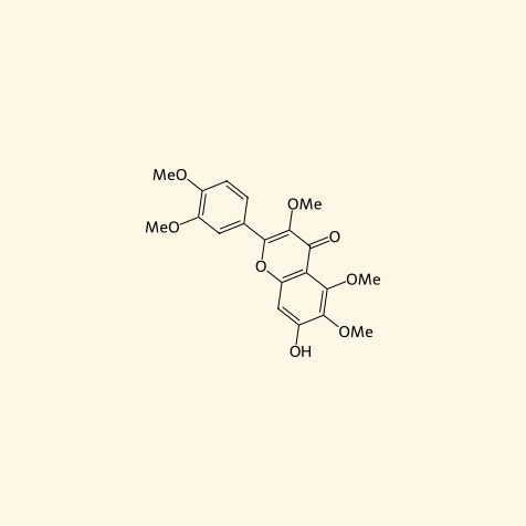 COc1ccc(-c2oc3cc(O)c(OC)c(OC)c3c(=O)c2OC)cc1OC